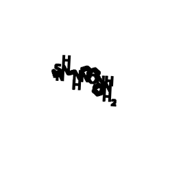 Nc1ccccc1NC(=O)/C=C\c1ccc(NCCNc2nccs2)nc1